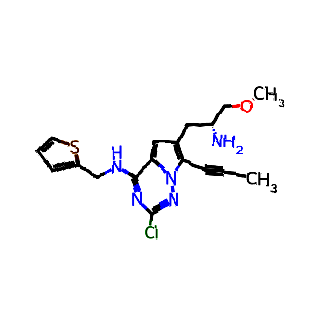 CC#Cc1c(C[C@@H](N)COC)cc2c(NCc3cccs3)nc(Cl)nn12